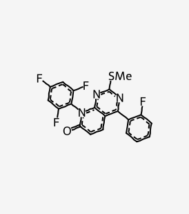 CSc1nc(-c2ccccc2F)c2ccc(=O)n(-c3c(F)cc(F)cc3F)c2n1